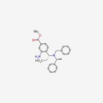 C[C@@H](c1ccccc1)N(Cc1ccccc1)[C@H](CC(=O)O)c1ccc(C(=O)OC(C)(C)C)cc1N